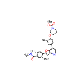 COc1cc(C(=O)N(C)C)ccc1-c1cc2nccc(-c3ccc(OC4CCCN(C(=O)OC(C)(C)C)C4)c(C#N)c3)c2o1